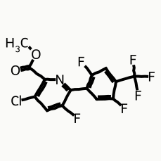 COC(=O)c1nc(-c2cc(F)c(C(F)(F)F)cc2F)c(F)cc1Cl